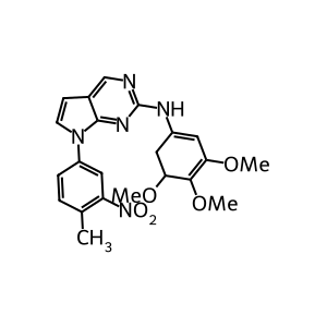 COC1=C(OC)C(OC)CC(Nc2ncc3ccn(-c4ccc(C)c([N+](=O)[O-])c4)c3n2)=C1